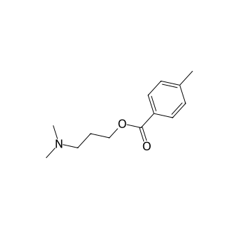 Cc1ccc(C(=O)OCCCN(C)C)cc1